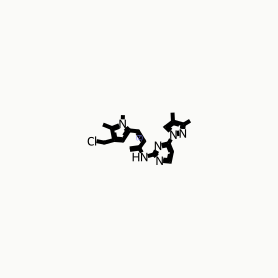 C=C(/C=C\c1cc(CCl)c(C)n1C)Nc1nccc(-n2cc(C)c(C)n2)n1